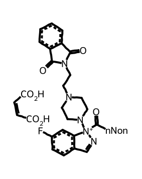 CCCCCCCCCC(=O)[N+]1(N2CCN(CCN3C(=O)c4ccccc4C3=O)CC2)N=Cc2ccc(F)cc21.O=C(O)/C=C\C(=O)O